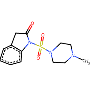 CN1CCN(S(=O)(=O)N2C(=O)Cc3ccccc32)CC1